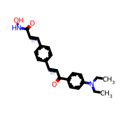 CCN(CC)c1ccc(C(=O)/C=C/c2ccc(/C=C/C(=O)NO)cc2)cc1